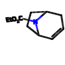 CCOC(=O)N1C2C=CCC1CC2